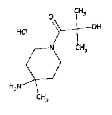 CC1(N)CCN(C(=O)C(C)(C)O)CC1.Cl